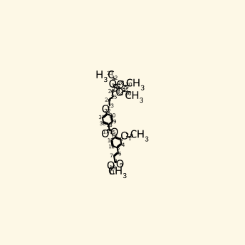 CCOc1cc(C=CC(=O)OC)ccc1OC(=O)c1ccc(OCCCC[Si](OCC)(OCC)OCC)cc1